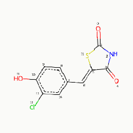 O=C1NC(=O)/C(=C/c2ccc(O)c(Cl)c2)S1